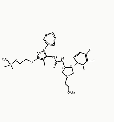 COCCN1C[C@@H](NC(=O)Nc2c(C)c(OCCO[Si](C)(C)C(C)(C)C)nn2-c2ccccc2)[C@H](C2C=CC(F)=C(F)C2C)C1